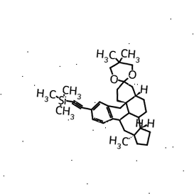 CC1(C)COC2(CC[C@@]34Cc5cc(C#C[Si](C)(C)C)ccc5C5C[C@]6(C)CCC[C@H]6[C@H](CC[C@H]3C2)C54)OC1